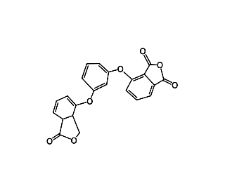 O=C1OC(=O)c2c(Oc3cccc(OC4=CC=CC5C(=O)OCC45)c3)cccc21